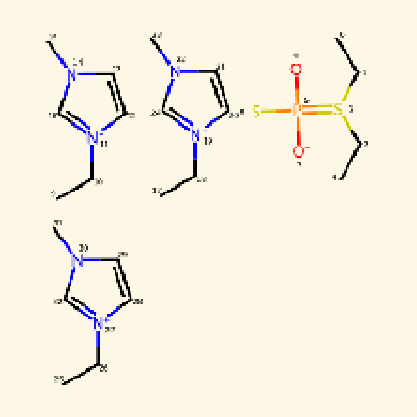 CCS(CC)=P([O-])([O-])[S-].CC[n+]1ccn(C)c1.CC[n+]1ccn(C)c1.CC[n+]1ccn(C)c1